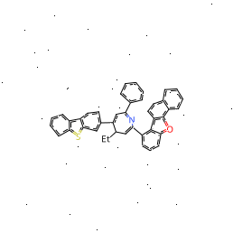 CCC1C=C(c2cccc3oc4c5ccccc5ccc4c23)N=C(c2ccccc2)C=C1c1ccc2c(c1)sc1ccccc12